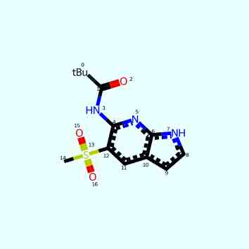 CC(C)(C)C(=O)Nc1nc2[nH]ccc2cc1S(C)(=O)=O